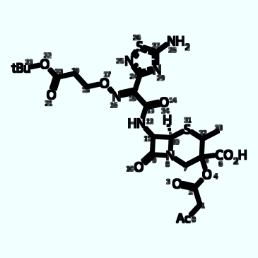 CC(=O)CC(=O)OC1(C(=O)O)CN2C(=O)C(NC(=O)C(=NOCCC(=O)OC(C)(C)C)c3nsc(N)n3)[C@H]2SC1C